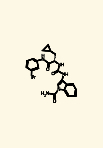 CC(C)c1cccc(NC(=O)[C@H](CC2CC2)NC(=O)Nc2cn(C(N)=O)c3ccccc23)c1